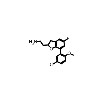 COc1ccc(Cl)cc1-c1cc(F)cc2c1OC(CCN)C2